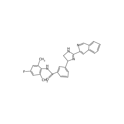 Cc1cc(F)cc(C)c1NC(=O)c1cccc(C2CNC(c3cc4ccccc4cn3)=N2)c1